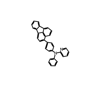 c1ccc(N(c2ccc(-c3ccc4c5c(cccc35)-c3ccccc3-4)cc2)c2ccccn2)cc1